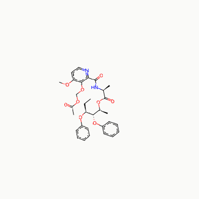 CC[C@H](Oc1ccccc1)[C@@H](Oc1ccccc1)[C@H](C)OC(=O)[C@H](C)NC(=O)c1nccc(OC)c1OCOC(C)=O